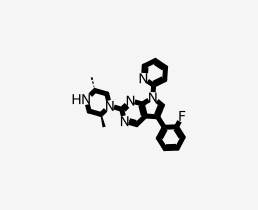 C[C@@H]1CN(c2ncc3c(-c4ccccc4F)cn(-c4ccccn4)c3n2)[C@@H](C)CN1